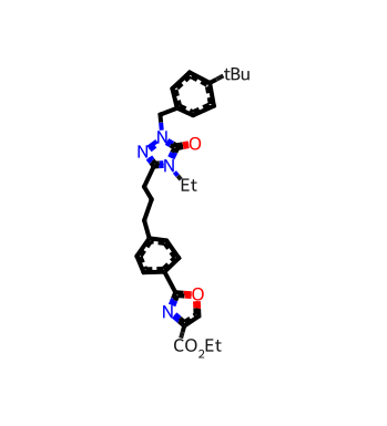 CCOC(=O)c1coc(-c2ccc(CCCc3nn(Cc4ccc(C(C)(C)C)cc4)c(=O)n3CC)cc2)n1